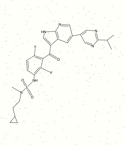 CC(C)c1ncc(-c2cnc3[nH]cc(C(=O)c4c(F)ccc(NS(=O)(=O)N(C)CCC5CC5)c4F)c3c2)cn1